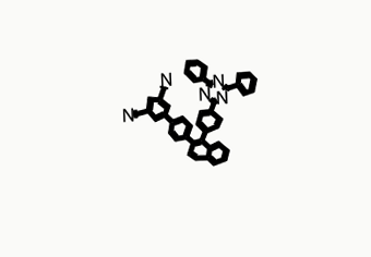 N#Cc1cc(C#N)cc(-c2ccc(-c3ccc4ccccc4c3-c3ccc(-c4nc(-c5ccccc5)nc(-c5ccccc5)n4)cc3)cc2)c1